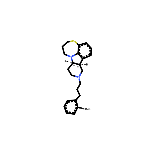 COc1ccccc1CCCN1CC[C@@H]2[C@H](C1)c1cccc3c1N2CCCS3